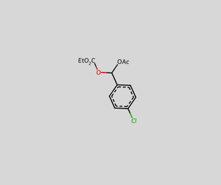 CCOC(=O)OC(OC(C)=O)c1ccc(Cl)cc1